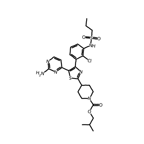 CCCS(=O)(=O)Nc1cccc(-c2nc(C3CCN(C(=O)OCC(C)C)CC3)sc2-c2ccnc(N)n2)c1Cl